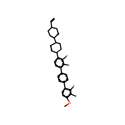 C=CC1CCC(C2CCC(c3ccc(-c4ccc(-c5ccc(OC)c(F)c5F)cc4)c(F)c3F)CC2)CC1